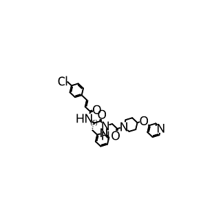 O=C(C=Cc1ccc(Cl)cc1)N[C@@H](Cc1ccccn1)C(=O)NCC(=O)N1CCC(Oc2cccnc2)CC1